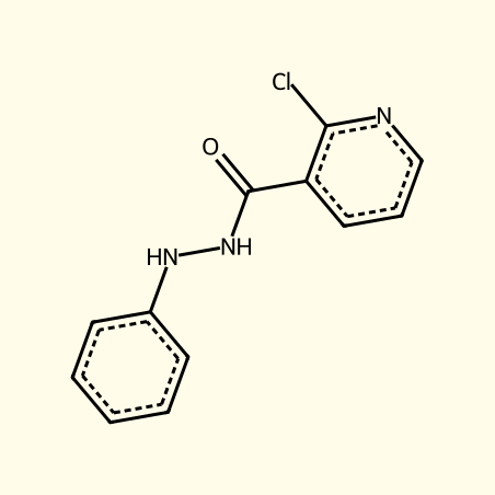 O=C(NNc1ccccc1)c1cccnc1Cl